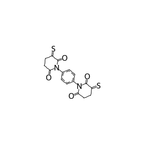 O=C1CCC(=S)C(=O)N1c1ccc(N2C(=O)CCC(=S)C2=O)cc1